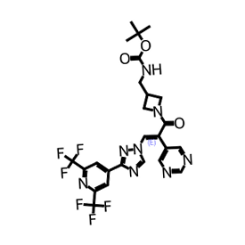 CC(C)(C)OC(=O)NCC1CN(C(=O)/C(=C/n2cnc(-c3cc(C(F)(F)F)nc(C(F)(F)F)c3)n2)c2cncnc2)C1